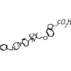 Cc1oc(-c2ccc(N3CCN(Cc4ccccc4)CC3)cc2)nc1CCOc1ccc2c(c1)CC[C@H]2CC(=O)O